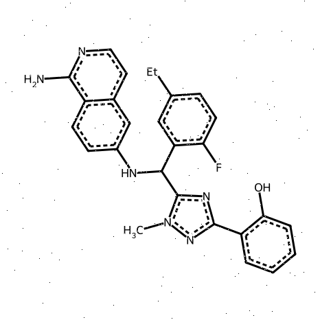 CCc1ccc(F)c(C(Nc2ccc3c(N)nccc3c2)c2nc(-c3ccccc3O)nn2C)c1